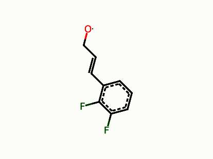 [O]C/C=C/c1cccc(F)c1F